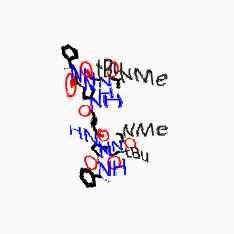 CN[C@@H](C)C(=O)N[C@H](C(=O)N1C[C@@H](NC(=O)/C=C/C(=O)N[C@H]2C[C@@H](C(=O)N[C@H](C)c3ccccc3)N(C(=O)[C@@H](NC(=O)[C@H](C)NC)C(C)(C)C)C2)C[C@H]1C(=O)N[C@H](C)c1ccccc1)C(C)(C)C